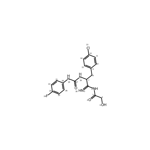 N=C(NC(=O)CO)C(Cc1ccc(Cl)cc1)NC(=O)Nc1ccc(F)cc1